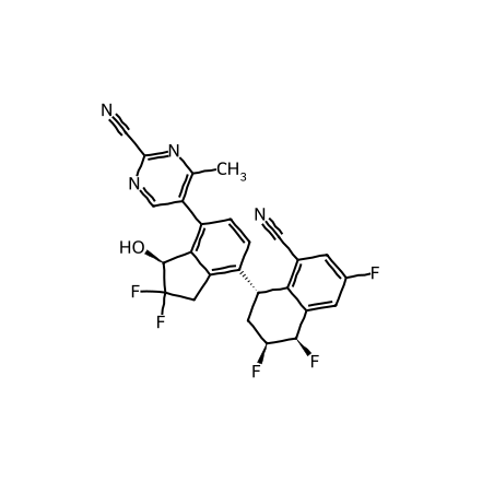 Cc1nc(C#N)ncc1-c1ccc([C@H]2C[C@H](F)[C@H](F)c3cc(F)cc(C#N)c32)c2c1[C@H](O)C(F)(F)C2